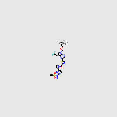 C[Si](C)(C)CCOCn1cc(CC(F)F)c2nc(-c3cnc(C(=O)N4CCCC4c4ccnc(NS(=O)(=O)C5CC5)n4)s3)cnc21